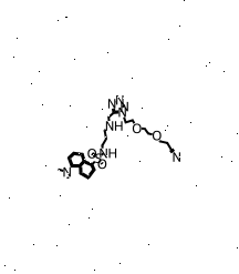 CN(C)c1cccc2c(S(=O)(=O)NCCCNCc3nnnn3CCOCCOCCC#N)cccc12